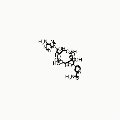 NC(=O)c1cc([C@@H]2O[C@@H]3COP(=O)(O)O[C@H]4C[C@H](n5cnc6c(N)ncnc65)O[C@@H]4COP(=O)(S)O[C@H]3[C@H]2O)ccn1